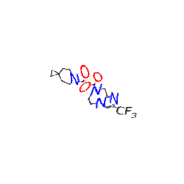 O=C(OC(=O)N1CCn2cc(C(F)(F)F)nc2C1)N1CCC2(CC1)CC2